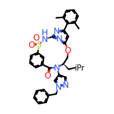 Cc1cccc(C)c1-c1cc2nc(n1)NS(=O)(=O)c1cccc(c1)C(=O)N(c1cnn(Cc3ccccc3)c1)[C@H](CC(C)C)CO2